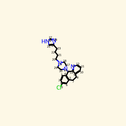 Clc1ccc2c(c1)CCc1cccnc1C2N1CCN(CCCCc2c[nH]cn2)CC1